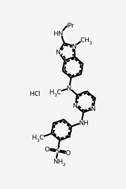 Cc1ccc(Nc2nccc(N(C)c3ccc4c(c3)nc(NC(C)C)n4C)n2)cc1S(N)(=O)=O.Cl